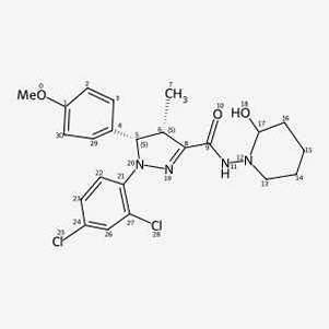 COc1ccc([C@@H]2[C@H](C)C(C(=O)NN3CCCCC3O)=NN2c2ccc(Cl)cc2Cl)cc1